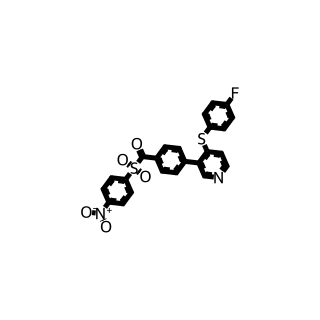 O=C(c1ccc(-c2cnccc2Sc2ccc(F)cc2)cc1)S(=O)(=O)c1ccc([N+](=O)[O-])cc1